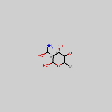 CCC1OC(O)[C@H](C(N)O)[C@@H](O)C1O